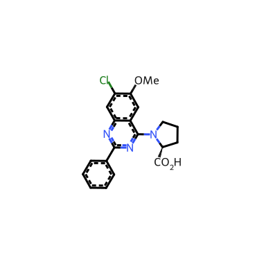 COc1cc2c(N3CCC[C@H]3C(=O)O)nc(-c3ccccc3)nc2cc1Cl